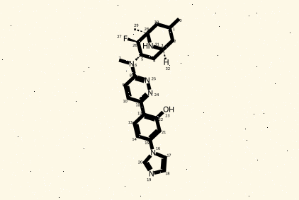 CC1C[C@H]2C[C@H](N(C)c3ccc(-c4ccc(-n5ccnc5)cc4O)nn3)[C@@H](F)[C@@](C)(C1)N2